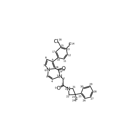 O=C(Cn1ccn2ccc(-c3ccc(F)c(Cl)c3)c2c1=O)N1CC(F)(c2ccccc2)C1